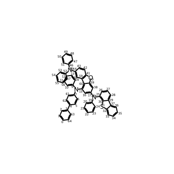 c1ccc(-c2ccc(N(c3ccccc3)c3cc(N(c4ccccc4)c4cccc5c4sc4ccccc45)cc4oc5ccc(N(c6ccccc6)c6ccccc6)cc5c34)cc2)cc1